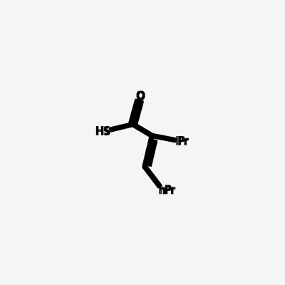 CCC/C=C(/C(=O)S)C(C)C